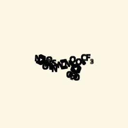 CC(Oc1ccc(S(C)(=O)=O)cc1C(=O)N1CCN(c2ncc(S(=O)(=O)c3ccncc3)s2)CC1)C(F)(F)F